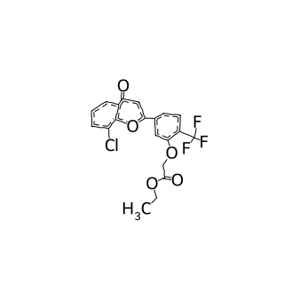 CCOC(=O)COc1cc(-c2cc(=O)c3cccc(Cl)c3o2)ccc1C(F)(F)F